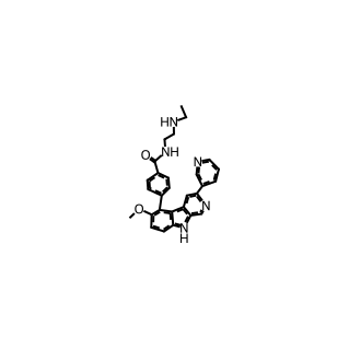 CCNCCNC(=O)c1ccc(-c2c(OC)ccc3[nH]c4cnc(-c5cccnc5)cc4c23)cc1